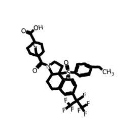 CCc1ccc(S(=O)(=O)C23CCN(C(=O)C45CCC(C(=O)O)(CC4)CC5)C2CCc2cc(C(F)(C(F)(F)F)C(F)(F)F)ccc23)cc1